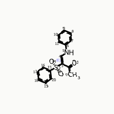 CC(=O)/C(=C\Nc1ccccc1)S(=O)(=O)c1ccccc1